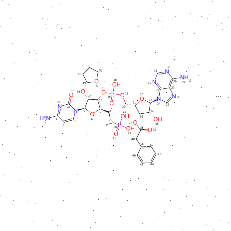 Nc1ccn([C@@H]2O[C@H](COP(=O)(O)O)[C@@H](OP(=O)(O)OC[C@@H]3O[C@@H](n4cnc5c(N)ncnc54)[C@H](O)[C@@H]3OC(=O)Cc3ccccc3)[C@H]2O[C@@H]2CCCO2)c(=O)n1